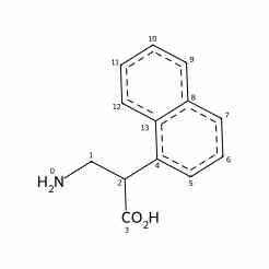 NCC(C(=O)O)c1cccc2ccccc12